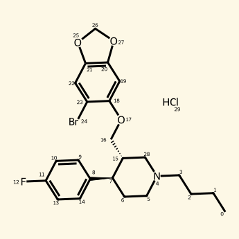 CCCCN1CC[C@@H](c2ccc(F)cc2)[C@H](COc2cc3c(cc2Br)OCO3)C1.Cl